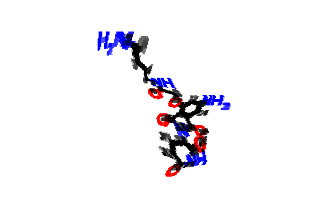 N.NCCCCNC(=O)COc1cccc2c1C(=O)N(C1CCC(=O)NC1=O)C2=O